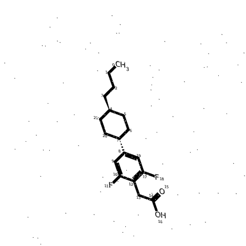 CCCC[C@H]1CC[C@H](c2cc(F)c(CC(=O)O)c(F)c2)CC1